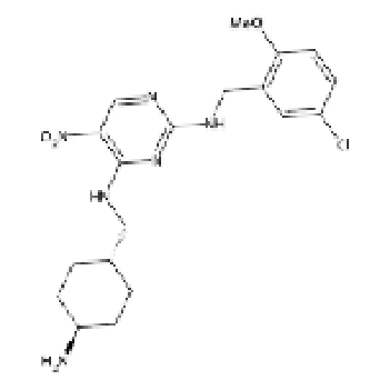 COc1ccc(Cl)cc1CNc1ncc([N+](=O)[O-])c(NC[C@H]2CC[C@H](N)CC2)n1